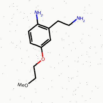 COCCOc1ccc(N)c(CCN)c1